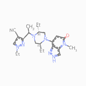 CC[C@H]1CN(C(C)c2nn(CC)cc2C#N)[C@H](CC)CN1c1cc(=O)n(C)c2c[nH]nc12